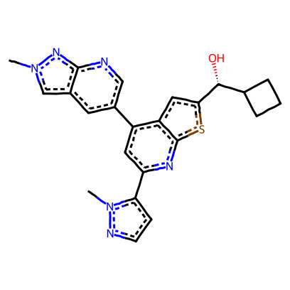 Cn1cc2cc(-c3cc(-c4ccnn4C)nc4sc([C@H](O)C5CCC5)cc34)cnc2n1